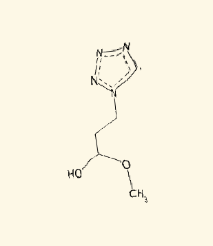 COC(O)CCn1[c]nnn1